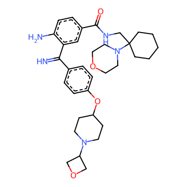 N=C(c1ccc(OC2CCN(C3COC3)CC2)cc1)c1cc(C(=O)NCC2(N3CCOCC3)CCCCC2)ccc1N